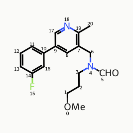 COCCCN(C=O)Cc1cc(-c2cccc(F)c2)cnc1C